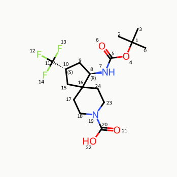 CC(C)(C)OC(=O)N[C@@H]1C[C@@H](C(F)(F)F)CC12CCN(C(=O)O)CC2